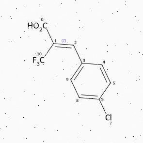 O=C(O)/C(=C/c1ccc(Cl)cc1)C(F)(F)F